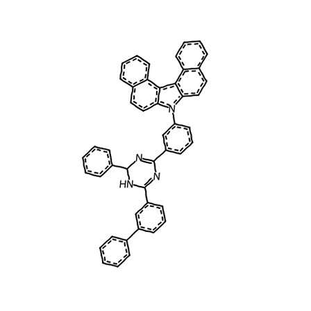 c1ccc(-c2cccc(C3=NC(c4cccc(-n5c6ccc7ccccc7c6c6c7ccccc7ccc65)c4)=NC(c4ccccc4)N3)c2)cc1